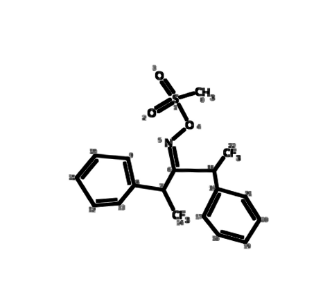 CS(=O)(=O)ON=C(C(c1ccccc1)C(F)(F)F)C(c1ccccc1)C(F)(F)F